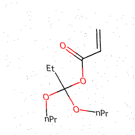 [CH2]CC(OCCC)(OCCC)OC(=O)C=C